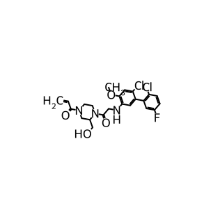 C=CC(=O)N1CCN(C(=O)CNc2cc(-c3cc(F)ccc3Cl)c(Cl)cc2OC)C(CO)C1